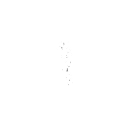 CCCCOc1ccc(C(=O)Oc2ccc(C(=O)Oc3ccc(OCCCC)c(C(=O)OC)c3)cc2)cc1